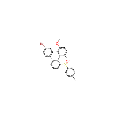 COc1ccc(C)c(-c2ccccc2[S+]([O-])c2ccc(C)cc2)c1-c1cc(Br)ccc1C